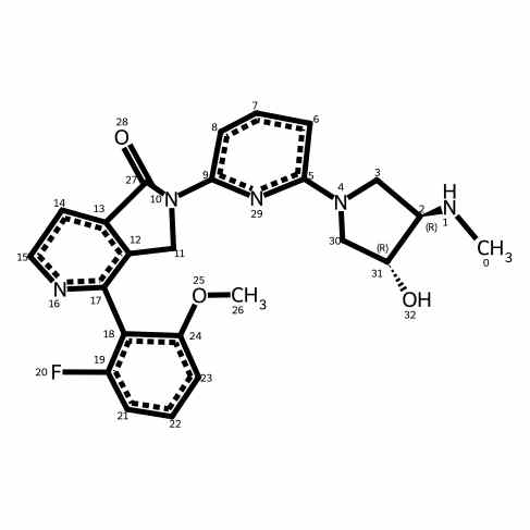 CN[C@@H]1CN(c2cccc(N3Cc4c(ccnc4-c4c(F)cccc4OC)C3=O)n2)C[C@H]1O